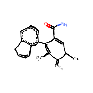 C=C1C(C)=C(c2cccc3c2C=CC3)C(C([NH])=O)=CC1C